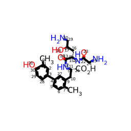 Cc1cc(-c2ccc(C)c(C[C@H](NC(=O)[C@H](C[C@@H](O)CN)NC(=O)CN)C(=O)O)c2)ccc1O